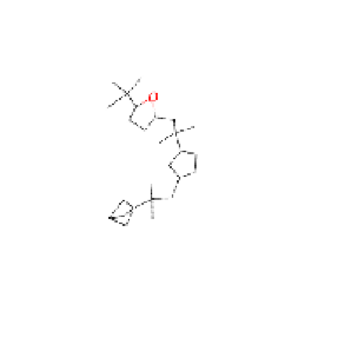 CC(C)(C)C1CCC(CC(C)(C)C2CCC(CC(C)(C)C34CC(C3)C4)C2)O1